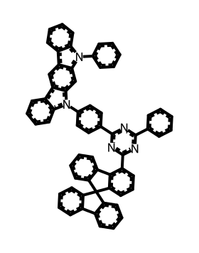 c1ccc(-c2nc(-c3ccc(-n4c5ccccc5c5cc6c7ccccc7n(-c7ccccc7)c6cc54)cc3)nc(-c3cccc4c3-c3ccccc3C43c4ccccc4-c4ccccc43)n2)cc1